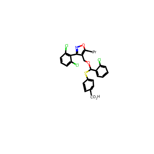 CC(C)c1onc(-c2c(Cl)cccc2Cl)c1COC(Sc1ccc(C(=O)O)cc1)c1ccccc1Cl